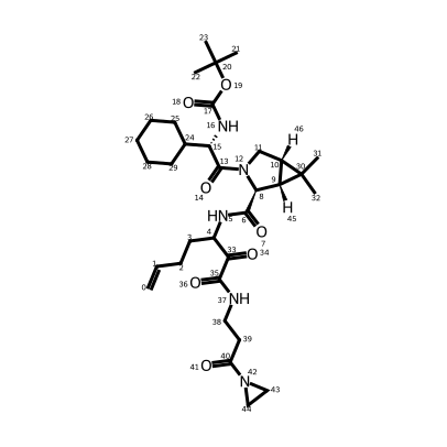 C=CCCC(NC(=O)[C@@H]1[C@@H]2[C@H](CN1C(=O)[C@@H](NC(=O)OC(C)(C)C)C1CCCCC1)C2(C)C)C(=O)C(=O)NCCC(=O)N1CC1